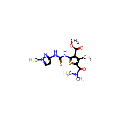 COC(=O)c1c(NC(=S)Nc2ccn(C)n2)sc(C(=O)N(C)C)c1C